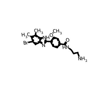 COc1cc(C(=O)NCCCN)ccc1-c1nc2cc(Br)c(C)c(C)c2[nH]1